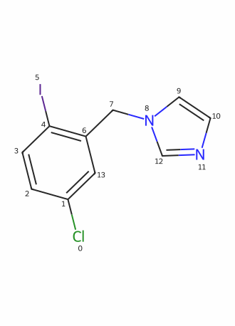 Clc1ccc(I)c(Cn2ccnc2)c1